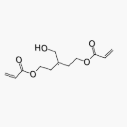 C=CC(=O)OCC[C](CO)CCOC(=O)C=C